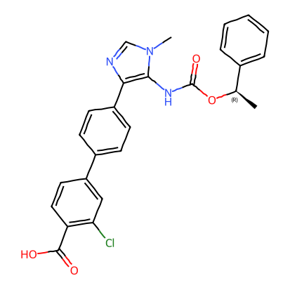 C[C@@H](OC(=O)Nc1c(-c2ccc(-c3ccc(C(=O)O)c(Cl)c3)cc2)ncn1C)c1ccccc1